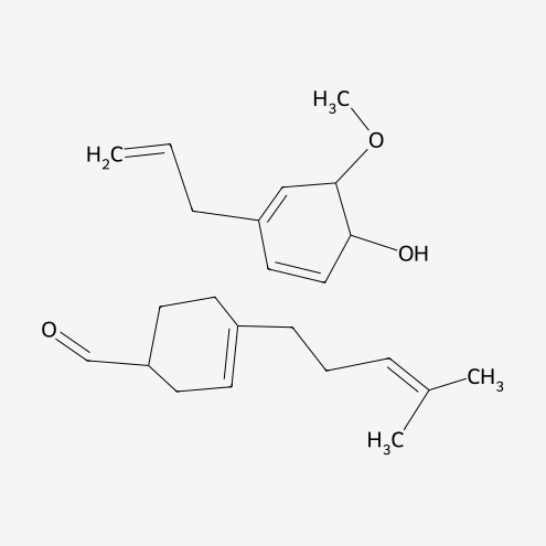 C=CCC1=CC(OC)C(O)C=C1.CC(C)=CCCC1=CCC(C=O)CC1